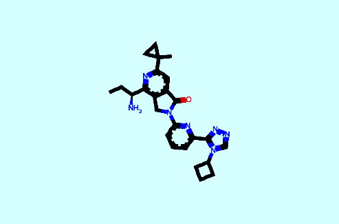 CC[C@H](N)c1nc(C2(C)CC2)cc2c1CN(c1cccc(-c3nncn3C3CCC3)n1)C2=O